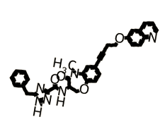 CN1C(=O)C(NC(=O)c2n[nH]c(Cc3ccccc3)n2)COc2ccc(C#CCCOc3ccc4ncccc4c3)cc21